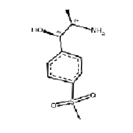 C[C@@H](N)[C@H](O)c1ccc(S(C)(=O)=O)cc1